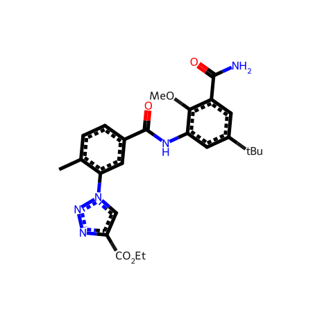 CCOC(=O)c1cn(-c2cc(C(=O)Nc3cc(C(C)(C)C)cc(C(N)=O)c3OC)ccc2C)nn1